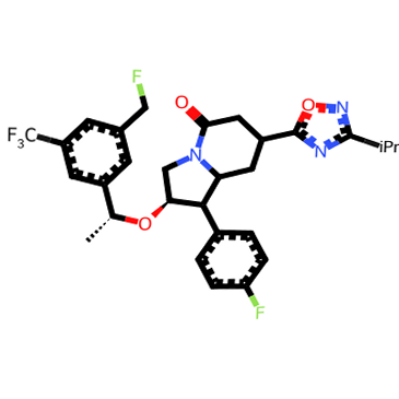 CC(C)c1noc(C2CC(=O)N3C[C@H](O[C@H](C)c4cc(CF)cc(C(F)(F)F)c4)C(c4ccc(F)cc4)C3C2)n1